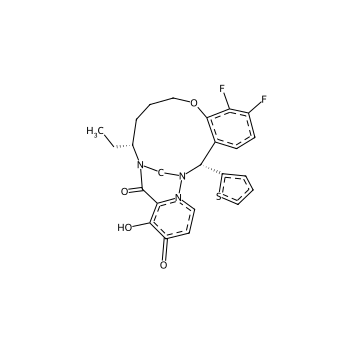 CC[C@@H]1CCCOc2c(ccc(F)c2F)[C@H](c2cccs2)N2CN1C(=O)c1c(O)c(=O)ccn12